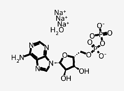 Nc1ncnc2c1ncn2[C@@H]1O[C@H](COP(=O)([O-])OP(=O)([O-])[O-])[C@@H](O)[C@H]1O.O.[Na+].[Na+].[Na+]